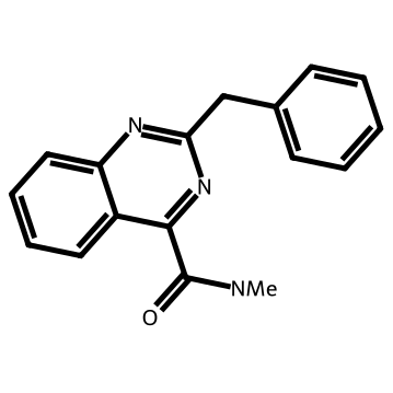 CNC(=O)c1nc(Cc2ccccc2)nc2ccccc12